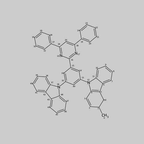 CC1C=Cc2c(c3ccccc3n2-c2cc(-c3nc(-c4ccccc4)cc(-c4ccccc4)n3)cc(-n3c4ccccc4c4ccccc43)c2)C1